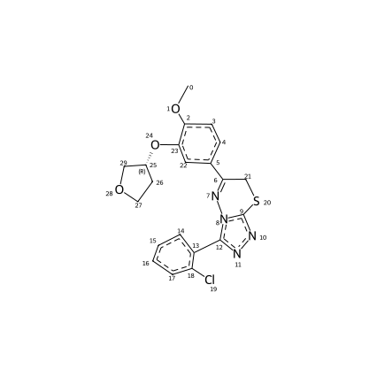 COc1ccc(C2=Nn3c(nnc3-c3ccccc3Cl)SC2)cc1O[C@@H]1CCOC1